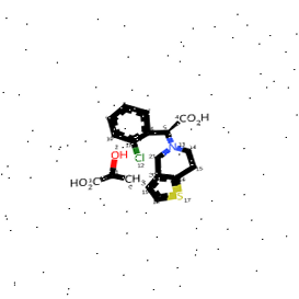 CC(O)C(=O)O.O=C(O)[C@H](c1ccccc1Cl)N1CCc2sccc2C1